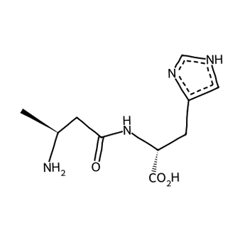 C[C@H](N)CC(=O)N[C@H](Cc1c[nH]cn1)C(=O)O